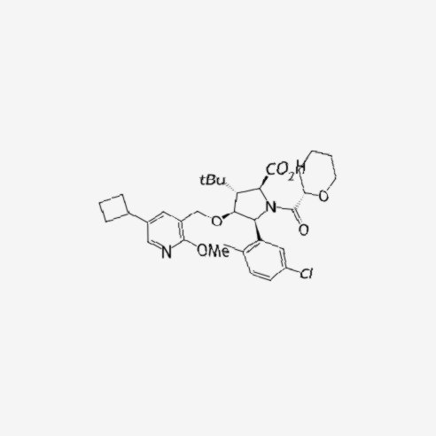 COc1ncc(C2CCC2)cc1CO[C@H]1[C@H](C(C)(C)C)[C@@H](C(=O)O)N(C(=O)[C@@H]2CCCCO2)[C@H]1c1cc(Cl)ccc1C